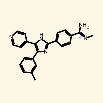 C/N=C(\N)c1ccc(-c2nc(-c3cccc(C)c3)c(-c3ccncc3)[nH]2)cc1